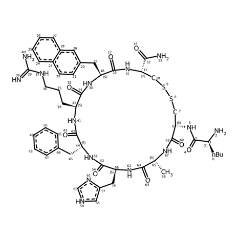 CCCC[C@H](N)C(=O)N[C@H]1CSSC[C@@H](C(N)=O)NC(=O)[C@H](Cc2ccc3ccccc3c2)NC(=O)[C@H](CCCNC(=N)N)NC(=O)[C@@H](Cc2ccccc2)NC(=O)[C@H](Cc2c[nH]cn2)NC(=O)[C@@H](C)NC1=O